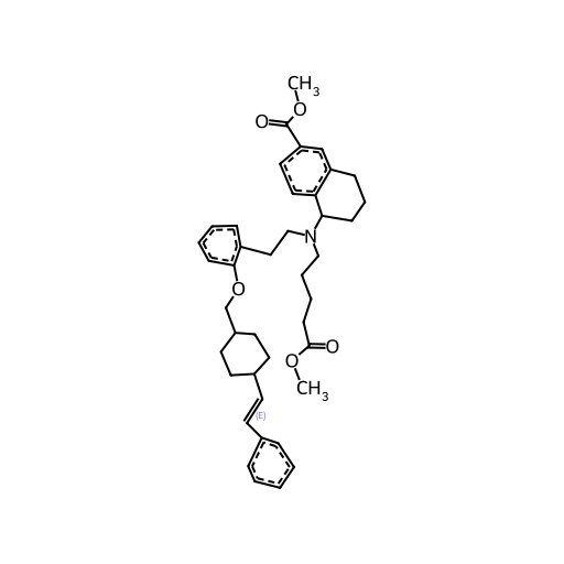 COC(=O)CCCCN(CCc1ccccc1OCC1CCC(/C=C/c2ccccc2)CC1)C1CCCc2cc(C(=O)OC)ccc21